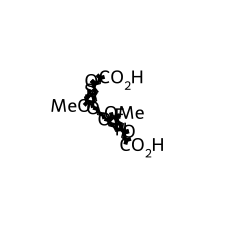 COc1cc2sc(C(=O)CC(C)C(=O)O)cc2cc1OCCCOc1cc2c(c(F)c1OC)CN(C(=O)CC(C)C(=O)O)C2